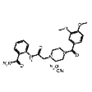 COc1ccc(C(=O)N2CCN(CC(=O)Nc3ccccc3C(N)=O)CC2)cc1OC.Cl.O